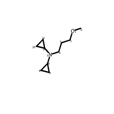 COCCCN(C1CC1)C1CC1